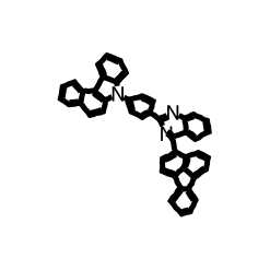 c1ccc2c(c1)-c1cccc3c(-c4nc(-c5ccc(-n6c7ccccc7c7c8ccccc8ccc76)cc5)nc5ccccc45)ccc-2c13